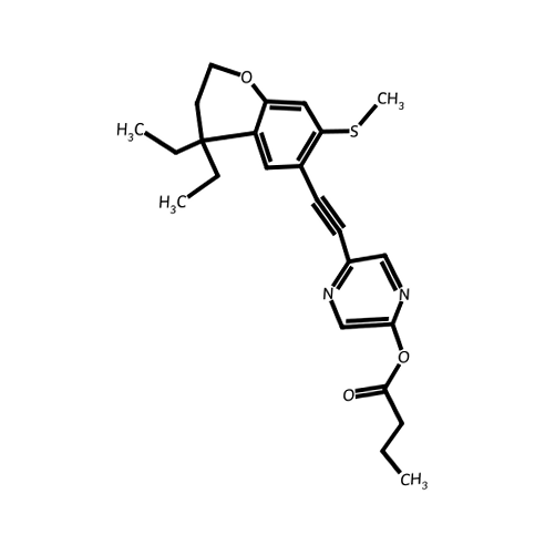 CCCC(=O)Oc1cnc(C#Cc2cc3c(cc2SC)OCCC3(CC)CC)cn1